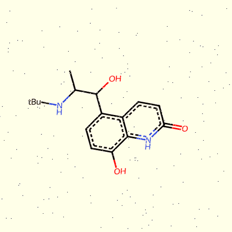 CC(NC(C)(C)C)C(O)c1ccc(O)c2[nH]c(=O)ccc12